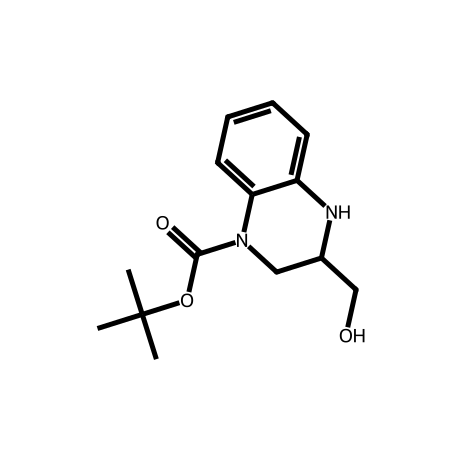 CC(C)(C)OC(=O)N1CC(CO)Nc2ccccc21